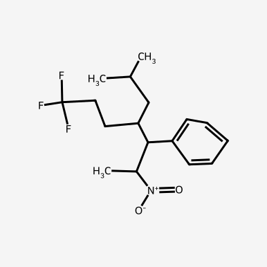 CC(C)CC(CCC(F)(F)F)C(c1ccccc1)C(C)[N+](=O)[O-]